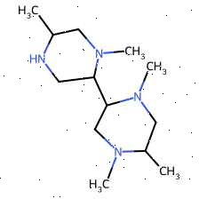 CC1CN(C)C(C2CN(C)C(C)CN2C)CN1